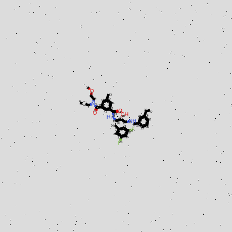 CCCN(CCOC)C(=O)c1cc(C)cc(C(=O)N[C@@H](Cc2cc(F)cc(F)c2)[C@H](O)CNCc2cccc(CC)c2)c1